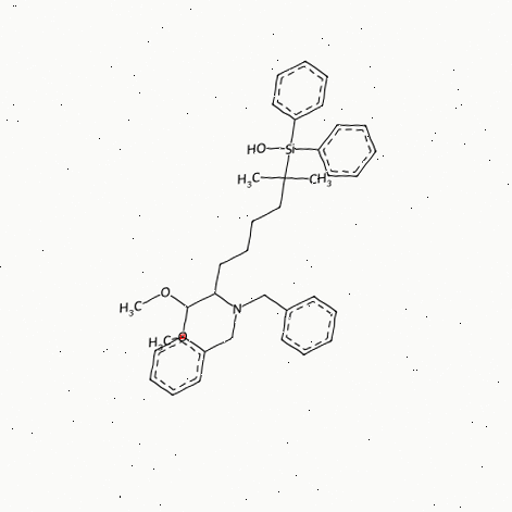 COC(OC)C(CCCCC(C)(C)[Si](O)(c1ccccc1)c1ccccc1)N(Cc1ccccc1)Cc1ccccc1